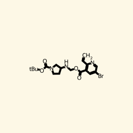 C=Cc1ncc(Br)cc1C(=O)OCNC1CCN(C(=O)OC(C)(C)C)C1